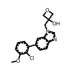 COc1cccc(-c2ccc3ncn(CC4(O)COC4)c3c2)c1Cl